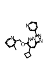 Cc1cccnc1COc1nn2c(-c3cccnc3)nnc2cc1C1CCC1